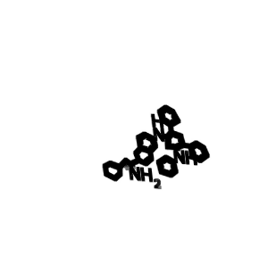 N[C@H](CC1=CCCCC1)C1C=Cc2cc(Nc3cc(Nc4ccccc4)c(-c4ccccc4)cc3-c3ccccc3)ccc2C1